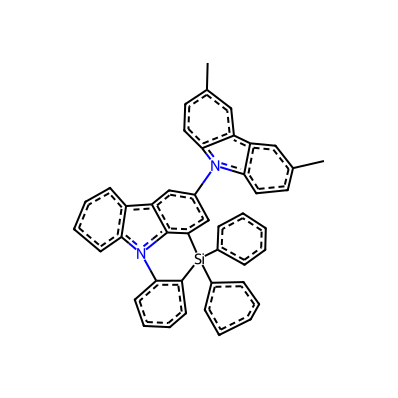 Cc1ccc2c(c1)c1cc(C)ccc1n2-c1cc2c3c(c1)c1ccccc1n3-c1ccccc1[Si]2(c1ccccc1)c1ccccc1